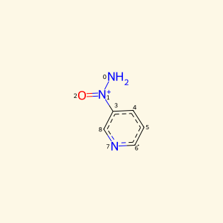 N[N+](=O)c1cc[c]nc1